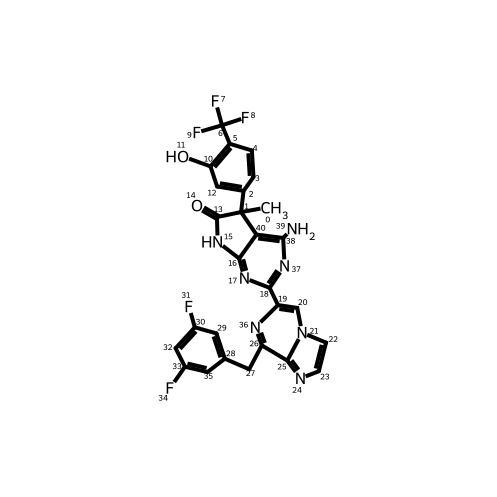 CC1(c2ccc(C(F)(F)F)c(O)c2)C(=O)Nc2nc(-c3cn4ccnc4c(Cc4cc(F)cc(F)c4)n3)nc(N)c21